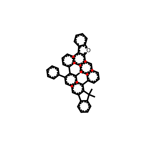 CC1(C)c2ccccc2-c2cccc(-c3ccccc3N(c3ccc4c(c3)oc3ccccc34)c3cccc(-c4ccccc4)c3-c3ccccc3-c3ccccc3)c21